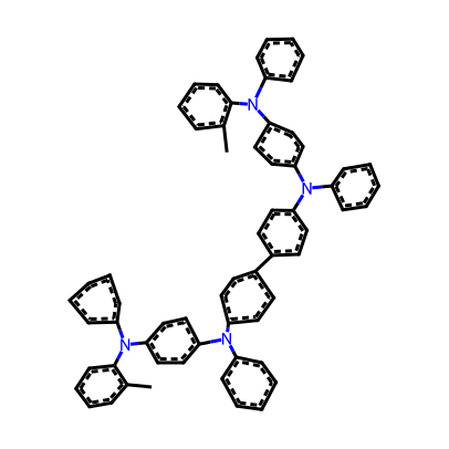 Cc1ccccc1N(c1ccccc1)c1ccc(N(c2ccccc2)c2ccc(-c3ccc(N(c4ccccc4)c4ccc(N(c5ccccc5)c5ccccc5C)cc4)cc3)cc2)cc1